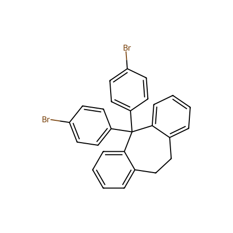 Brc1ccc(C2(c3ccc(Br)cc3)c3ccccc3CCc3ccccc32)cc1